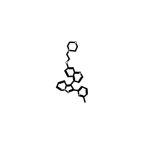 Cc1cccc(-c2nn3ccccc3c2-c2ccnc3cc(OCCN4CCOCC4)ccc23)n1